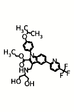 CCOC(=O)c1c(CNC(CO)CO)c2cc(-c3ccc(C(F)(F)F)cn3)ccc2n1-c1ccc(OC(C)C)cc1